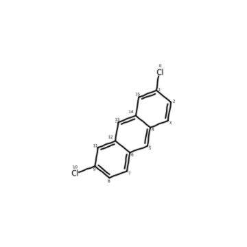 Clc1ccc2[c]c3ccc(Cl)cc3[c]c2c1